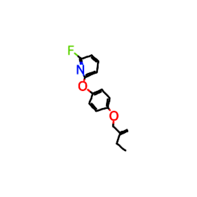 C=C(CC)COc1ccc(Oc2cccc(F)n2)cc1